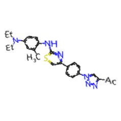 CCN(CC)c1ccc(Nc2nc(-c3ccc(-n4cc(C(C)=O)nn4)cc3)cs2)c(C)c1